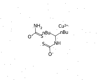 CCCCC(CCCC)NC([O-])=S.NC([O-])=S.[Cu+2]